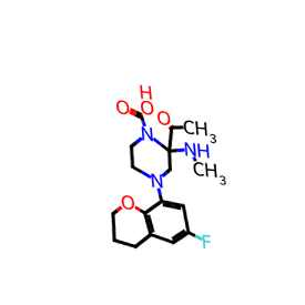 CNC1(C(C)=O)CN(c2cc(F)cc3c2OCCC3)CCN1C(=O)O